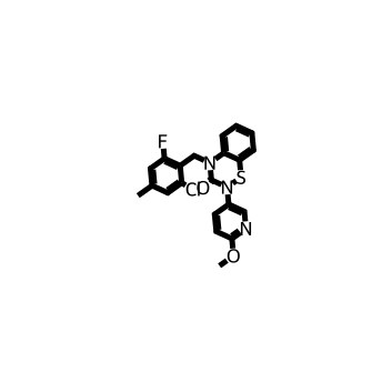 COc1ccc(N2Sc3ccccc3N(Cc3c(F)cc(C)cc3Cl)C2=O)cn1